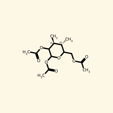 CC(=O)OCC1OC(OC(C)=O)C(OC(C)=O)[C@@H](C)[C@@H]1C